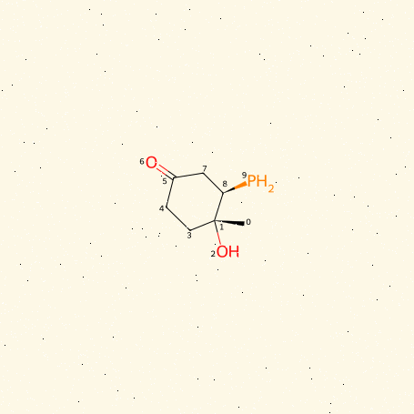 C[C@@]1(O)CCC(=O)C[C@H]1P